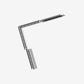 [Cl-].[Cl-].[Cl-].[Cl-].[Cl-].[Cl-].[Cl-].[Cl-].[Cl-].[Cl-].[Cl-].[Cl-].[Cl-].[Cl-].[Cl-].[Cl-].[Cl-].[Cl-].[Cl-].[Cl-].[Cl-].[Cl-].[Cl-].[Cl-].[Cl-].[Cl-].[Cl-].[Cl-].[Cl-].[Cl-].[Fe+3].[Fe+3].[Fe+3].[Fe+3].[Fe+3].[Fe+3].[Fe+3].[Fe+3].[Fe+3].[Fe+3].[Fe+3].[Fe+3].[Fe+3].[Fe+3].[Fe+3].[Fe+3].[Fe+3].[Fe+3].[Fe+3].[Fe+3].[Fe+3].[Fe+3].[Fe+3].[Fe+3].[Fe+3].[Fe+3].[Fe+3].[Fe+3]